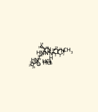 CN1CCc2cc(Nc3ncc(C4CC4)c(NCCCNC(=O)C4CCC4)n3)ccc2C1.Cl.Cl